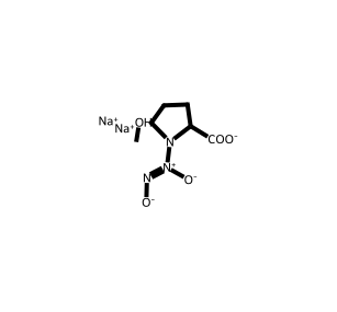 CO.O=C([O-])C1CCCN1[N+]([O-])=N[O-].[Na+].[Na+]